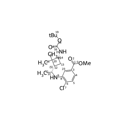 COC(=O)c1ccc(Cl)c(NC(C)[C@H]2C[C@@H](NC(=O)OC(C)(C)C)C2(C)C)c1